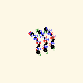 O=C(CNS(=O)(=O)c1ccc(CNC(=O)c2ccc(Cl)cc2)s1)NCCNc1ccc([N+](=O)[O-])cn1.O=C(CNS(=O)(=O)c1ccc(CNC(=O)c2ccc(Cl)cc2)s1)NCCNc1ncc(C(F)(F)F)cc1Cl.O=C(CNS(=O)(=O)c1ccc(CNC(=O)c2ccc(Cl)cc2)s1)NCCNc1ncccc1C(F)(F)F